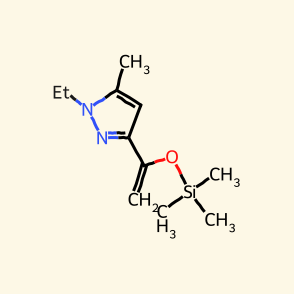 C=C(O[Si](C)(C)C)c1cc(C)n(CC)n1